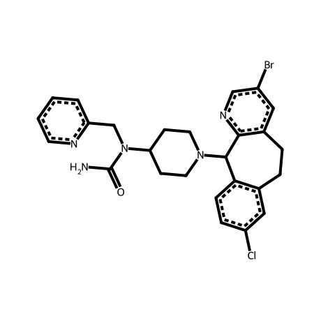 NC(=O)N(Cc1ccccn1)C1CCN(C2c3ccc(Cl)cc3CCc3cc(Br)cnc32)CC1